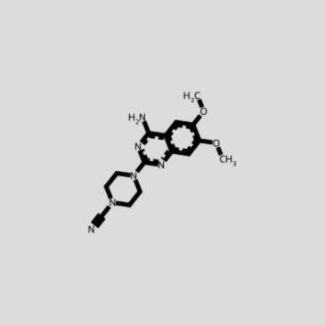 COc1cc2nc(N3CCN(C#N)CC3)nc(N)c2cc1OC